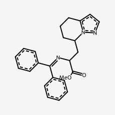 COC(=O)C(CC1CCCc2ccnn21)N=C(c1ccccc1)c1ccccc1